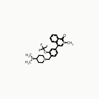 CN(C)C1CCN(Cc2ccc(-c3cn(C)c(=O)c4ccccc34)cc2OC(F)(F)F)CC1